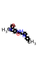 Cc1ccc(-c2cccc(C=CC(=O)Nc3ccc(CN(C)C4CCOCC4)cc3)n2)cc1